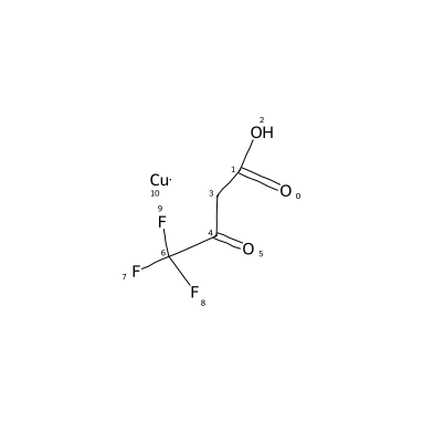 O=C(O)CC(=O)C(F)(F)F.[Cu]